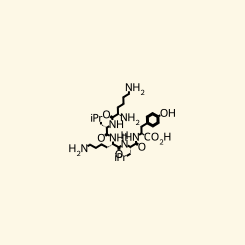 CC(C)C[C@H](NC(=O)[C@H](CCCCN)NC(=O)[C@H](CC(C)C)NC(=O)[C@@H](N)CCCCN)C(=O)N[C@@H](Cc1ccc(O)cc1)C(=O)O